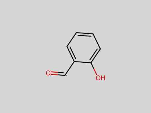 O=[C]c1ccccc1O